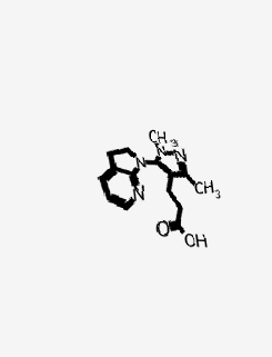 Cc1nn(C)c(N2CCc3cccnc32)c1CCC(=O)O